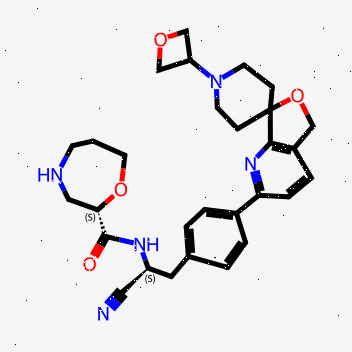 N#C[C@H](Cc1ccc(-c2ccc3c(n2)C2(CCN(C4COC4)CC2)OC3)cc1)NC(=O)[C@@H]1CNCCCO1